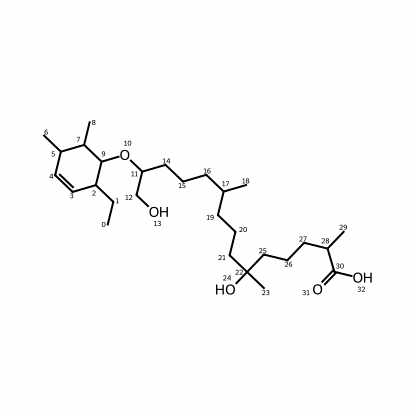 CCC1C=CC(C)C(C)C1OC(CO)CCCC(C)CCCC(C)(O)CCCC(C)C(=O)O